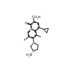 Cc1c(N2CC[C@H](N)C2)c(F)cn2c(=O)c(C(=O)O)cc(C3CC3)c12